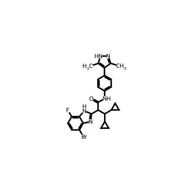 Cc1n[nH]c(C)c1-c1ccc(NC(=O)C(c2nc3c(Br)ccc(F)c3[nH]2)C(C2CC2)C2CC2)cc1